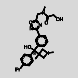 CC(C)c1ccc([C@](O)(c2cccc(-c3noc(CN(C)C(=O)CO)n3)c2)C2(C)CN(C)C2)cc1